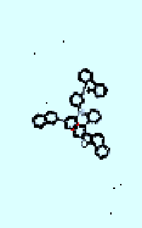 c1cc(-c2ccc3ccccc3c2)cc(N(c2cccc(-n3c4ccccc4c4ccccc43)c2)c2ccccc2-c2cccc3oc4c5ccccc5ccc4c23)c1